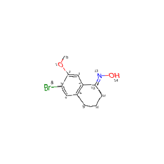 COc1cc2c(cc1Br)CCCC2=NO